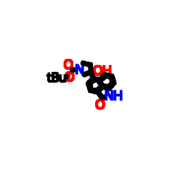 CC(C)(C)OC(=O)N1CCC(O)(c2ccc3c4c(cccc24)NC3=O)C1